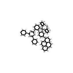 c1ccc(-c2nc(-c3ccccc3)nc(-c3cccc4c3-c3ccc(-c5ccc6ccc7cccc8ccc5c6c78)cc3C43c4ccccc4Oc4ccccc43)n2)cc1